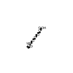 CC(C)(C)OC(=O)NCCOCCOCCOCCOCC(=O)O